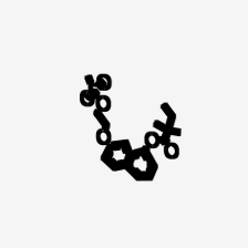 CCC(C)(C)C(=O)Oc1cccc2ccc(OCCOS(C)(=O)=O)cc12